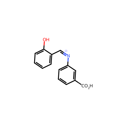 O=C(O)c1cccc(/N=C\c2ccccc2O)c1